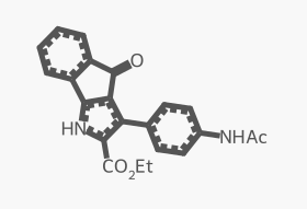 CCOC(=O)c1[nH]c2c(c1-c1ccc(NC(C)=O)cc1)C(=O)c1ccccc1-2